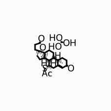 CC(=O)S[C@@H]1CC2=CC(=O)CC[C@]2(C)[C@H]2CC[C@@]3(C)[C@@H](CC[C@@]34CCC(=O)O4)[C@H]12.OC(O)O